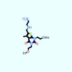 CCOCCn1c(=O)c2c(C)c(CNCCN)sc2n(CCOC)c1=O